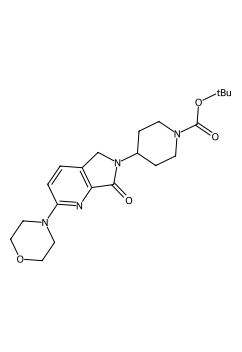 CC(C)(C)OC(=O)N1CCC(N2Cc3ccc(N4CCOCC4)nc3C2=O)CC1